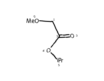 [CH2]OCC(=O)OC(C)C